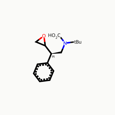 CC(C)(C)N(C[C@@H](c1ccccc1)C1CO1)C(=O)O